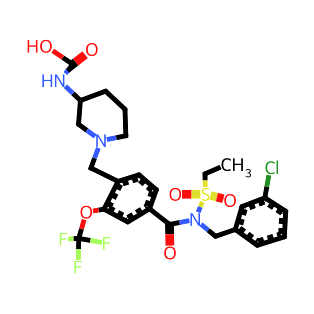 CCS(=O)(=O)N(Cc1cccc(Cl)c1)C(=O)c1ccc(CN2CCCC(NC(=O)O)C2)c(OC(F)(F)F)c1